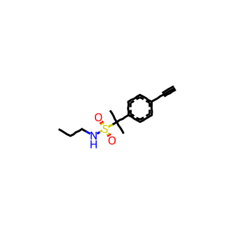 C#Cc1ccc(C(C)(C)S(=O)(=O)NCCC)cc1